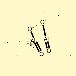 [Fe+2].[O]=[Al][O-].[O]=[Al][O-]